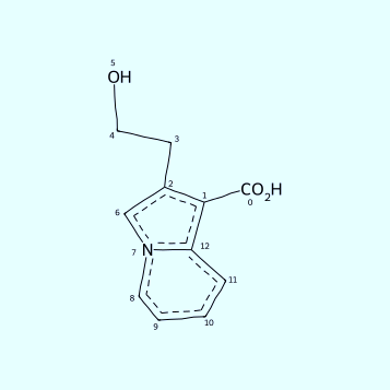 O=C(O)c1c(CCO)cn2ccccc12